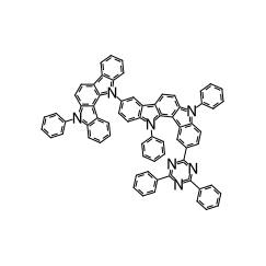 c1ccc(-c2nc(-c3ccccc3)nc(-c3ccc4c(c3)c3c(ccc5c6cc(-n7c8ccccc8c8ccc9c(c%10ccccc%10n9-c9ccccc9)c87)ccc6n(-c6ccccc6)c53)n4-c3ccccc3)n2)cc1